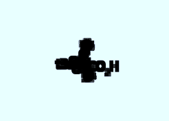 CC(C)(C)OC(=O)N(CCOCc1ccccc1)c1nc(C(=O)O)c(-c2ccccc2)s1